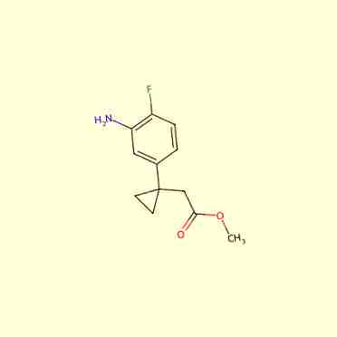 COC(=O)CC1(c2ccc(F)c(N)c2)CC1